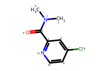 CN(C)C(=O)c1cc(Cl)[c]cn1